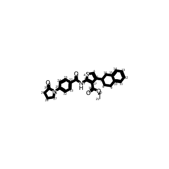 O=C(Nc1scc(C2CCc3ccccc3C2)c1C(=O)OI)c1ccc(N2CCCC2=O)cc1